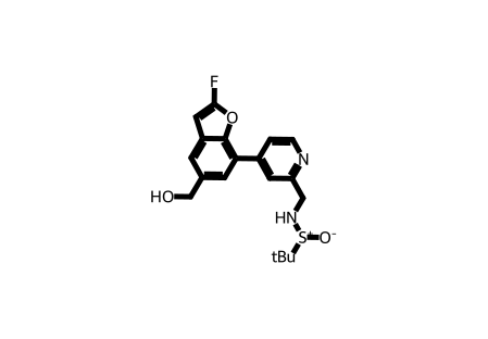 CC(C)(C)[S+]([O-])NCc1cc(-c2cc(CO)cc3cc(F)oc23)ccn1